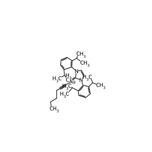 CCCCC#[C][Au]=[c]1n(-c2c(C(C)C)cccc2C(C)C)ccn1-c1c(C(C)C)cccc1C(C)C